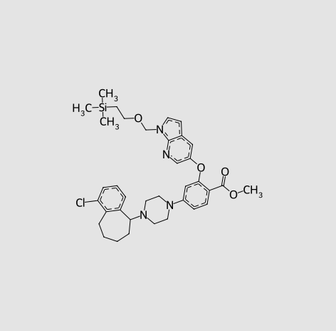 COC(=O)c1ccc(N2CCN(C3CCCCc4c(Cl)cccc43)CC2)cc1Oc1cnc2c(ccn2COCC[Si](C)(C)C)c1